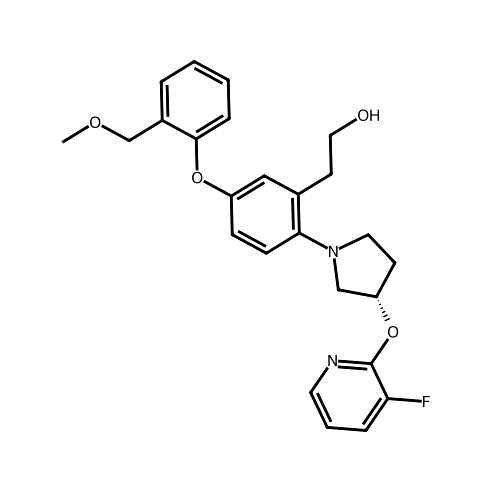 COCc1ccccc1Oc1ccc(N2CC[C@H](Oc3ncccc3F)C2)c(CCO)c1